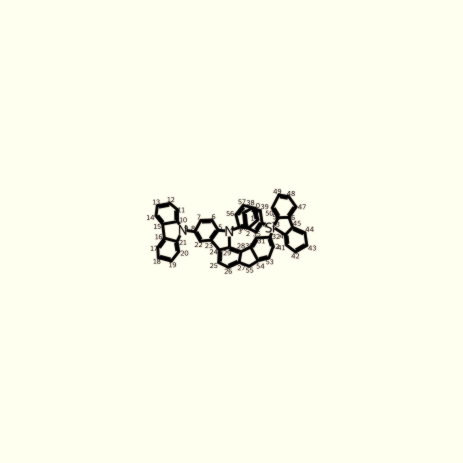 c1ccc(-n2c3ccc(-n4c5ccccc5c5ccccc54)cc3c3ccc4c(c32)-c2cc([Si]3(c5ccccc5)c5ccccc5-c5ccccc53)ccc2C4)cc1